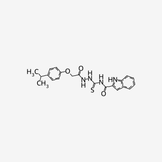 CC(C)c1ccc(OCC(=O)NNC(=S)NC(=O)c2cc3ccccc3[nH]2)cc1